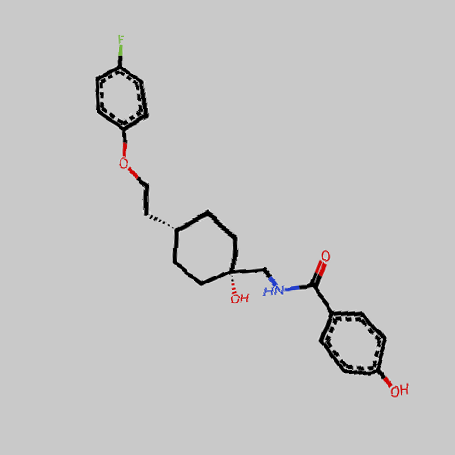 O=C(NC[C@]1(O)CC[C@@H](CCOc2ccc(F)cc2)CC1)c1ccc(O)cc1